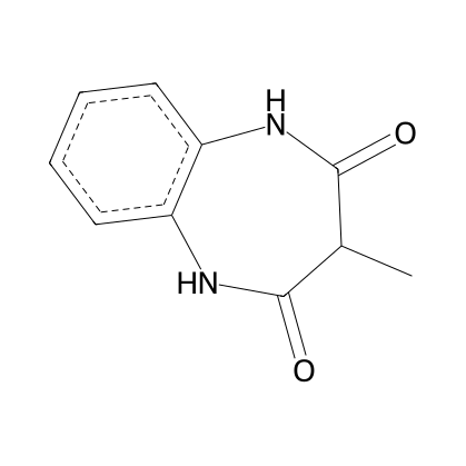 CC1C(=O)Nc2ccccc2NC1=O